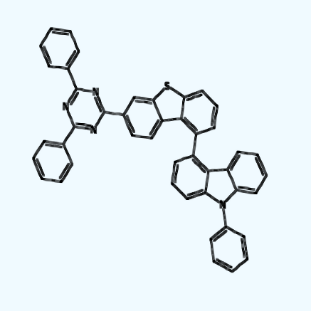 c1ccc(-c2nc(-c3ccccc3)nc(-c3ccc4c(c3)sc3cccc(-c5cccc6c5c5ccccc5n6-c5ccccc5)c34)n2)cc1